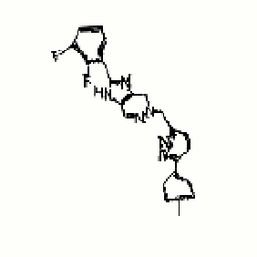 Cc1ccc(-c2ccc(CN3Cc4nc(-c5cccc(F)c5F)[nH]c4C=N3)nn2)cc1